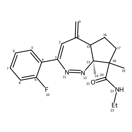 C=C1C=C(c2ccccc2F)N=N[C@@]2(C)C1CCC2(C)C(=O)NCC